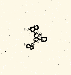 CN1C(c2cc(O)cc3ccccc23)=Cc2nc(OC[C@@]34CCCN3C[C@H](F)C4)nc(N3CC4CCC(C3)N4)c2S1(=O)=O